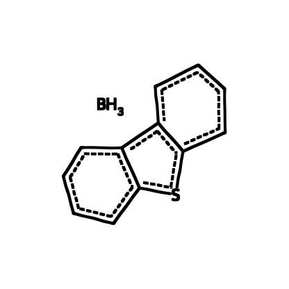 B.c1ccc2c(c1)sc1ccccc12